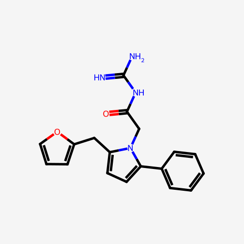 N=C(N)NC(=O)Cn1c(Cc2ccco2)ccc1-c1ccccc1